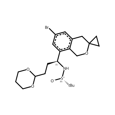 CC(C)(C)[S@+]([O-])N[C@@H](CCC1OCCCO1)c1cc(Br)cc2c1COC1(CC1)C2